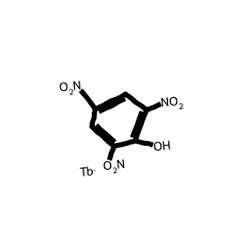 O=[N+]([O-])c1cc([N+](=O)[O-])c(O)c([N+](=O)[O-])c1.[Tb]